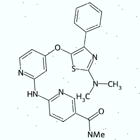 CNC(=O)c1ccc(Nc2cc(Oc3sc(N(C)C)nc3-c3ccccc3)ccn2)nc1